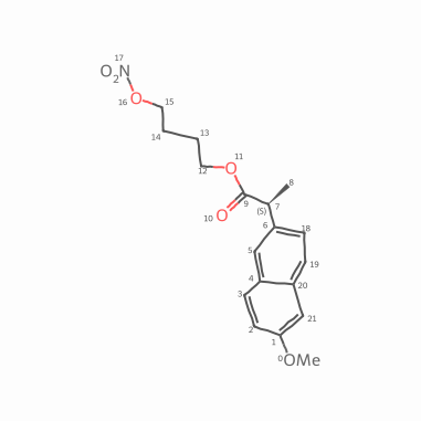 COc1ccc2cc([C@H](C)C(=O)OCCCCO[N+](=O)[O-])ccc2c1